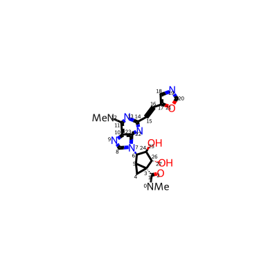 CNC(=O)[C@]12CC1[C@@H](n1cnc3c(NC)nc(C#Cc4cnco4)nc31)C(O)[C@@H]2O